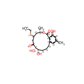 CCSC1CC(=O)[C@@H](O)[C@@H](O)CCCc2cc(C)cc(O)c2C(=O)O[C@@H](C)C1